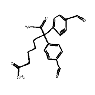 NC(=O)CCCCC(C(N)=O)(c1ccc(C=O)cc1)c1ccc(C=O)cc1